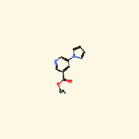 COC(=O)c1cncc(-n2cccc2)c1